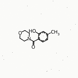 Cc1ccc(C(=O)N2CCOCC2)c(O)c1